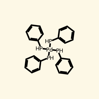 c1ccc([PH][Pd]([PH]c2ccccc2)([PH]c2ccccc2)[PH]c2ccccc2)cc1